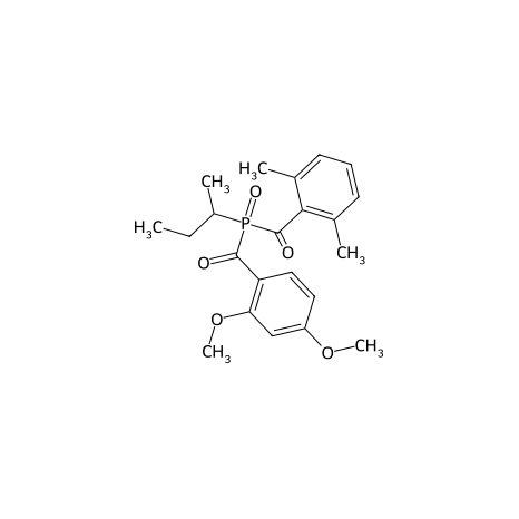 CCC(C)P(=O)(C(=O)c1ccc(OC)cc1OC)C(=O)c1c(C)cccc1C